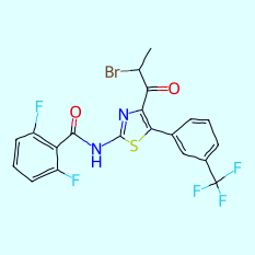 CC(Br)C(=O)c1nc(NC(=O)c2c(F)cccc2F)sc1-c1cccc(C(F)(F)F)c1